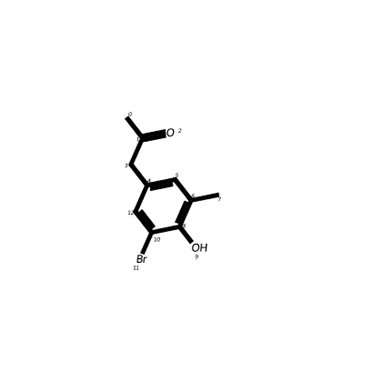 CC(=O)Cc1cc(C)c(O)c(Br)c1